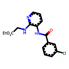 CCOC(=O)CNc1ncccc1NC(=O)c1cccc(Cl)c1